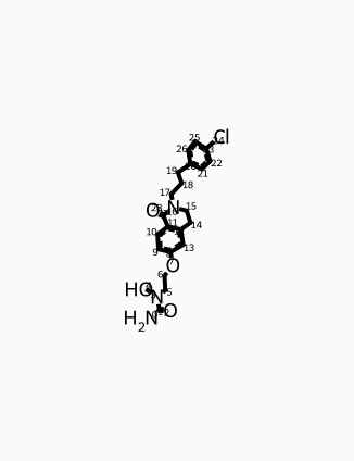 NC(=O)N(O)CCOc1ccc2c(c1)CCN(CCCc1ccc(Cl)cc1)C2=O